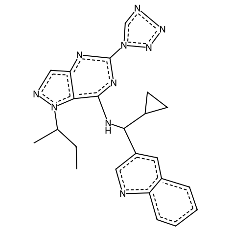 CCC(C)n1ncc2nc(-n3cnnn3)nc(NC(c3cnc4ccccc4c3)C3CC3)c21